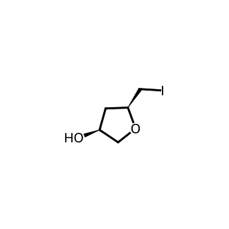 O[C@@H]1CO[C@H](CI)C1